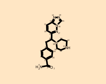 NC(=O)c1ccc(CC(c2ccc3nncn3n2)N2CCNCC2)cc1